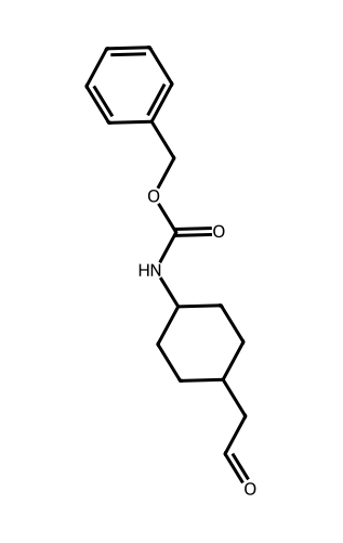 O=CCC1CCC(NC(=O)OCc2ccccc2)CC1